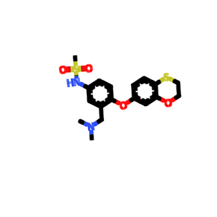 CN(C)Cc1cc(NS(C)(=O)=O)ccc1Oc1ccc2c(c1)OCCS2